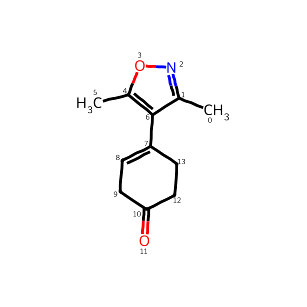 Cc1noc(C)c1C1=CCC(=O)CC1